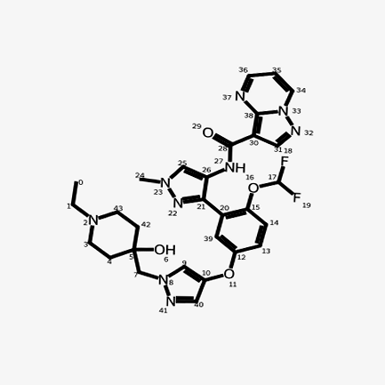 CCN1CCC(O)(Cn2cc(Oc3ccc(OC(F)F)c(-c4nn(C)cc4NC(=O)c4cnn5cccnc45)c3)cn2)CC1